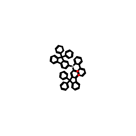 C1=CCCC(C2(c3ccccc3)c3ccccc3-c3ccc(N(c4ccc5c(c4)C(c4ccccc4)(c4ccccc4)c4ccccc4-5)c4ccccc4-c4ccccc4)cc32)=C1